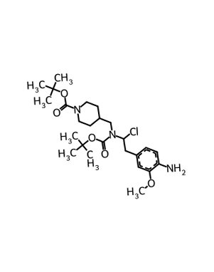 COc1cc(CC(Cl)N(CC2CCN(C(=O)OC(C)(C)C)CC2)C(=O)OC(C)(C)C)ccc1N